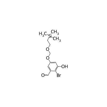 C[Si](C)(C)CCOCOc1cc(O)c(Br)c(C=O)c1